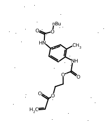 C=CC(=O)OCCOC(=O)Nc1ccc(NC(=O)OCCCC)cc1C